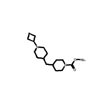 CC(C)(C)OC(=O)N1CCC(CC2CCN(C3CCC3)CC2)CC1